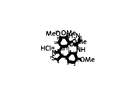 COc1ccc(-c2csnc2-c2cc(OC)c(OC)c(OC)c2)cc1NC(=O)CN.Cl